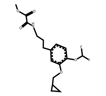 COC(=O)C(=O)NCCCc1ccc(OC(F)F)c(OCC2CC2)c1